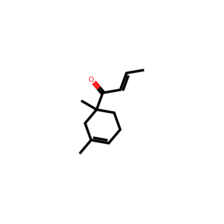 C/C=C/C(=O)C1(C)CCC=C(C)C1